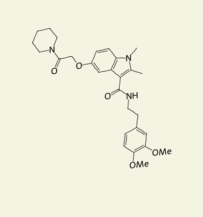 COc1ccc(CCNC(=O)c2c(C)n(C)c3ccc(OCC(=O)N4CCCCC4)cc23)cc1OC